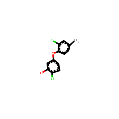 [O]c1cc(Oc2ccc(C(F)(F)F)cc2Cl)ccc1Cl